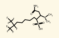 CN(C)C(CC(N)=O)C(CCCCCC(F)(C(F)(F)F)C(F)(F)F)S(=O)(=O)O